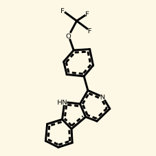 FC(F)(F)Oc1ccc(-c2nccc3c2[nH]c2ccccc23)cc1